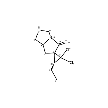 CC[C@@H]1C(Cl)(Cl)C12CC1COCN1C2=O